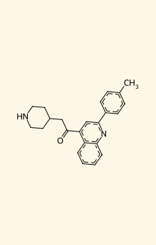 Cc1ccc(-c2cc(C(=O)CC3CCNCC3)c3ccccc3n2)cc1